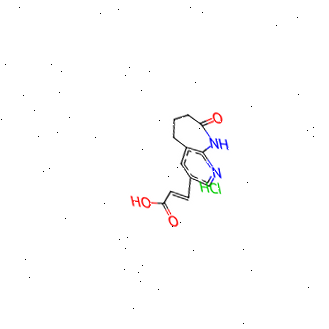 Cl.O=C(O)C=Cc1cnc2c(c1)CCCC(=O)N2